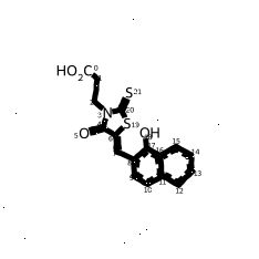 O=C(O)CCN1C(=O)C(=Cc2ccc3ccccc3c2O)SC1=S